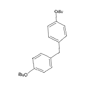 CC(C)COc1ccc(Cc2ccc(OCC(C)C)cc2)cc1